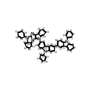 c1ccc(-n2c3ccccc3c3cc(-c4ccc5c(c4)c4cc(-n6c7ccccc7c7nc8n(-c9ccccc9)c9ccccc9n8c76)ccc4n5-c4ccccc4)ccc32)cc1